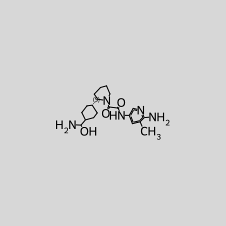 Cc1cc(NC(=O)C(=O)N2CCCC[C@H]2C2CCC(C(N)O)CC2)cnc1N